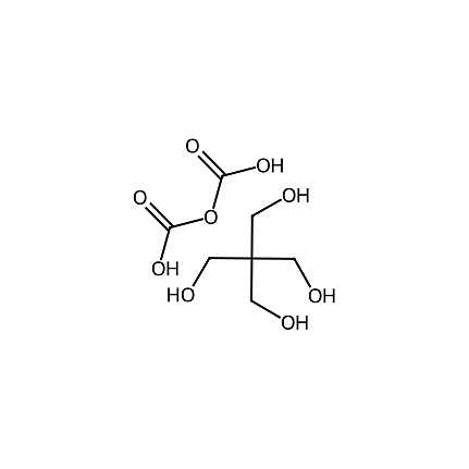 O=C(O)OC(=O)O.OCC(CO)(CO)CO